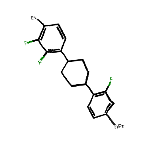 CCCc1ccc(C2CCC(c3ccc(CC)c(F)c3F)CC2)c(F)c1